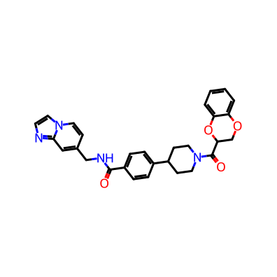 O=C(NCc1ccn2ccnc2c1)c1ccc(C2CCN(C(=O)C3COc4ccccc4O3)CC2)cc1